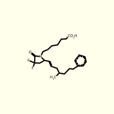 CC(C/C=C/C1CC(F)(F)C(=O)N1CCCCCCC(=O)O)CCCc1ccccc1